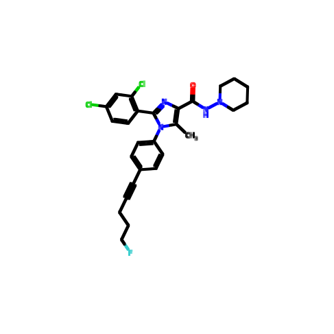 Cc1c(C(=O)NN2CCCCC2)nc(-c2ccc(Cl)cc2Cl)n1-c1ccc(C#CCCCF)cc1